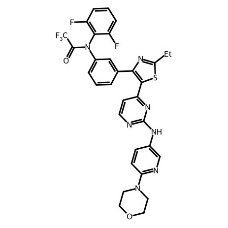 CCc1nc(-c2cccc(N(C(=O)C(F)(F)F)c3c(F)cccc3F)c2)c(-c2ccnc(Nc3ccc(N4CCOCC4)nc3)n2)s1